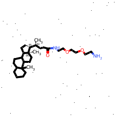 C[C@H](CCC(=O)NCCOCCOCCN)[C@H]1CCC2C3CCC4CCCCC4(C)C3CC[C@@]21C